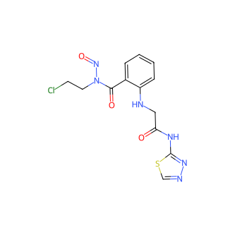 O=NN(CCCl)C(=O)c1ccccc1NCC(=O)Nc1nncs1